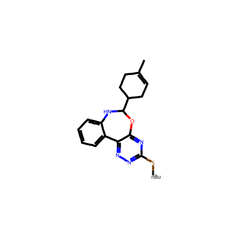 CCCCSc1nnc2c(n1)OC(C1CC=C(C)CC1)Nc1ccccc1-2